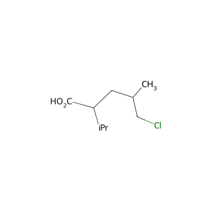 CC(CCl)CC(C(=O)O)C(C)C